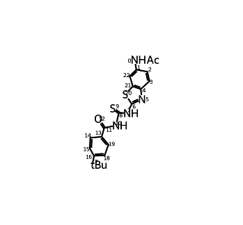 CC(=O)Nc1ccc2nc(NC(=S)NC(=O)c3ccc(C(C)(C)C)cc3)sc2c1